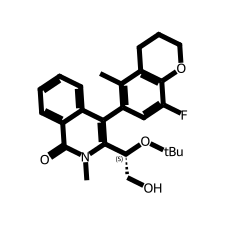 Cc1c(-c2c([C@@H](CO)OC(C)(C)C)n(C)c(=O)c3ccccc23)cc(F)c2c1CCCO2